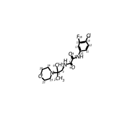 CC(C)(CNC(=O)C(=O)Nc1ccc(Cl)c(F)c1)N1CCOCC1